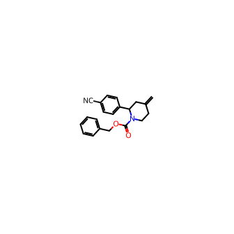 C=C1CCN(C(=O)OCc2ccccc2)C(c2ccc(C#N)cc2)C1